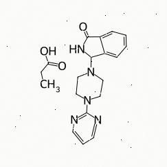 CCC(=O)O.O=C1NC(N2CCN(c3ncccn3)CC2)c2ccccc21